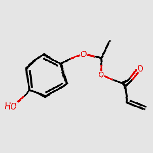 C=CC(=O)OC(C)Oc1ccc(O)cc1